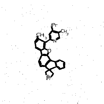 Cc1cnc(-c2c(C)ccc3c2oc2c4c(ccc23)C(CC(C)C)(CC(C)C)c2ccccc2-4)cc1C(C)C